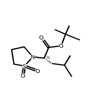 CC(C)C[C@@H](C(=O)OC(C)(C)C)N1CCCS1(=O)=O